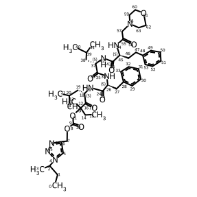 CCC(C)n1cc(COC(=O)OC(C)(CC)C(=O)[C@H](CC(C)C)NC(=O)[C@H](Cc2ccccc2)NC(=O)[C@H](CC(C)C)NC(=O)[C@H](CCc2ccccc2)NC(=O)CN2CCOCC2)nn1